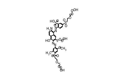 COc1cc(S(=O)(=O)CCOSOOO)c(C)cc1/N=N/c1c(SOOO)cc2c(/N=N/c3ccc(S(=O)(=O)CCOSOOO)cc3S(=O)(=O)O)c(N)ccc2c1O